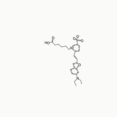 CCN(CC)c1ccc2cc(/C=C/c3ccc(S(=O)(=O)[O-])c[n+]3CCCCCC(=O)O)oc2c1